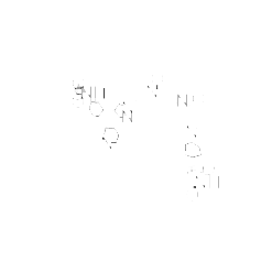 CCCS(=O)(=O)Nc1cccc(-c2cn(C3CCN(C(=O)C4CCN(C(=O)C5CCN(c6ccc([C@@H]7CCC(=O)NC7=O)cc6)CC5)CC4)CC3)nc2-c2ccncc2)c1F